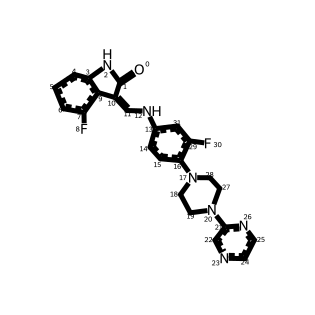 O=C1Nc2cccc(F)c2C1=CNc1ccc(N2CCN(c3cnccn3)CC2)c(F)c1